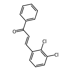 O=C(C=Cc1cccc(Cl)c1Cl)c1ccccc1